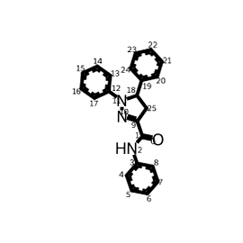 O=C(Nc1ccccc1)C1=NN(c2ccccc2)C(c2ccccc2)C1